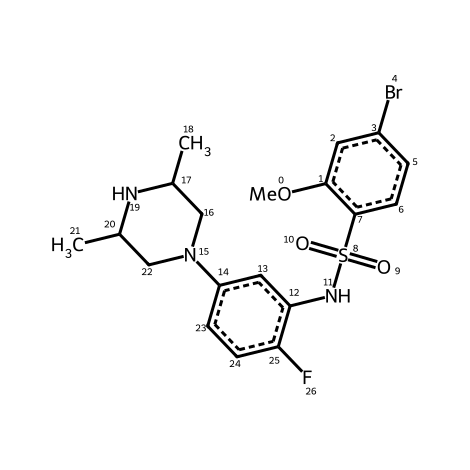 COc1cc(Br)ccc1S(=O)(=O)Nc1cc(N2CC(C)NC(C)C2)ccc1F